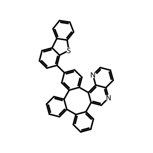 c1ccc2c(c1)-c1ccccc1-c1cnc3cccnc3c1-c1ccc(-c3cccc4c3sc3ccccc34)cc1-2